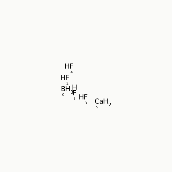 B.F.F.F.F.[CaH2]